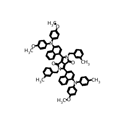 COc1ccc(N(c2ccc(C)cc2)c2ccc(C3=C4C(=O)N(Cc5cccc(C)c5)C(c5ccc(N(c6ccc(OC)cc6)c6ccc(OC)cc6)c6ccccc56)=C4C(=O)N3Cc3cccc(C)c3)c3ccccc23)cc1